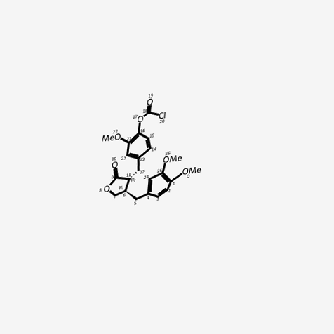 COc1ccc(C[C@H]2COC(=O)[C@@H]2Cc2ccc(OC(=O)Cl)c(OC)c2)cc1OC